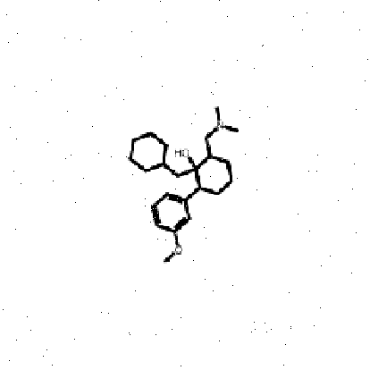 COc1cccc(C2CCCC(CN(C)C)C2(O)CC2CCCCC2)c1